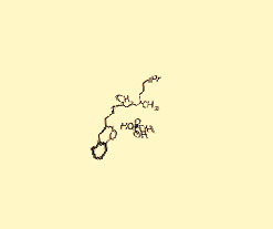 CC(C)CCCC(C)CCCC(C)CCCC1=Cc2ccccc2OC1.O=P(O)(O)O